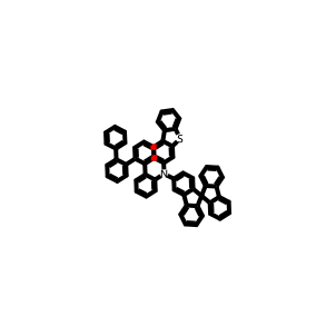 c1ccc(-c2ccccc2-c2ccccc2-c2ccccc2N(c2ccc3c(c2)-c2ccccc2C32c3ccccc3-c3ccccc32)c2ccc3c(c2)sc2ccccc23)cc1